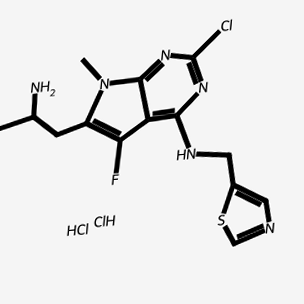 CC(N)Cc1c(F)c2c(NCc3cncs3)nc(Cl)nc2n1C.Cl.Cl